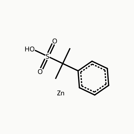 CC(C)(c1ccccc1)S(=O)(=O)O.[Zn]